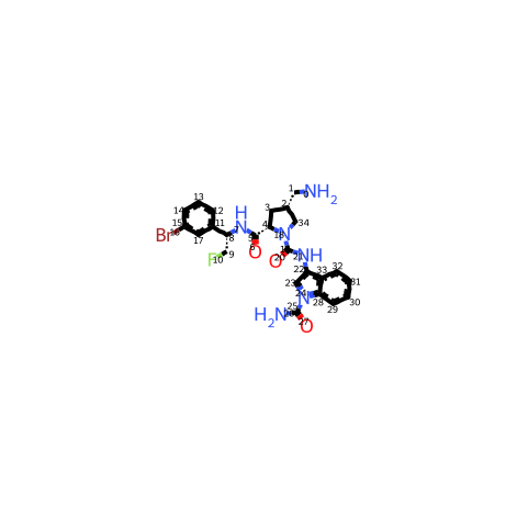 NC[C@H]1C[C@@H](C(=O)N[C@H](CF)c2cccc(Br)c2)N(C(=O)Nc2cn(C(N)=O)c3ccccc23)C1